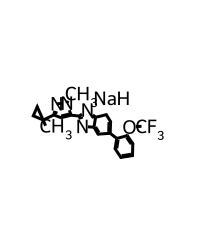 Cn1nc(C2(C)CC2)cc1C1=NC2=CC(c3ccccc3OC(F)(F)F)=CCC2=N1.[NaH]